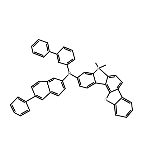 C[Si]1(C)c2cc(N(c3cccc(-c4ccccc4)c3)c3ccc4cc(-c5ccccc5)ccc4c3)ccc2-c2c1ccc1c2oc2ccccc21